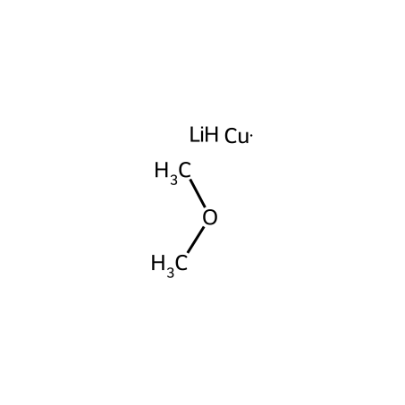 COC.[Cu].[LiH]